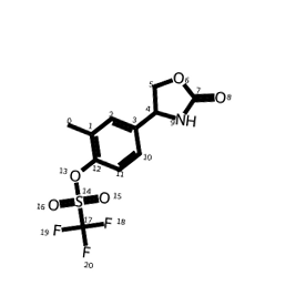 Cc1cc(C2COC(=O)N2)ccc1OS(=O)(=O)C(F)(F)F